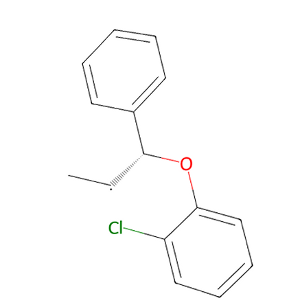 C[CH][C@@H](Oc1ccccc1Cl)c1ccccc1